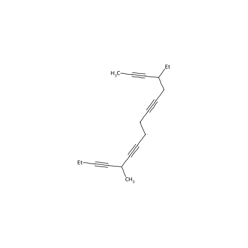 CC#CC(CC)CC#CC[CH]C#CC(C)C#CCC